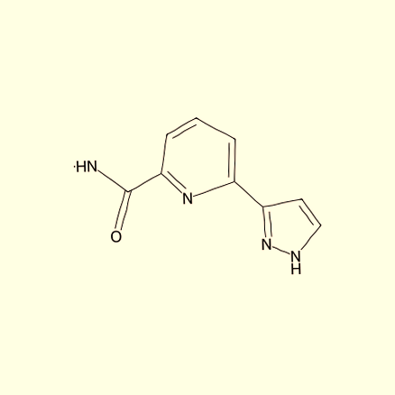 [NH]C(=O)c1cccc(-c2cc[nH]n2)n1